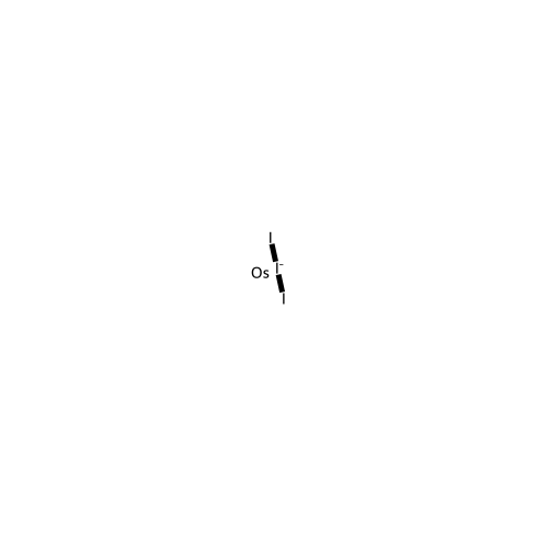 I[I-]I.[Os]